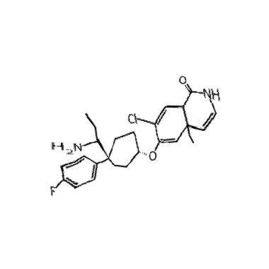 CCC(N)[C@]1(c2ccc(F)cc2)CC[C@@H](OC2=CC3(C)C=CNC(=O)C3C=C2Cl)CC1